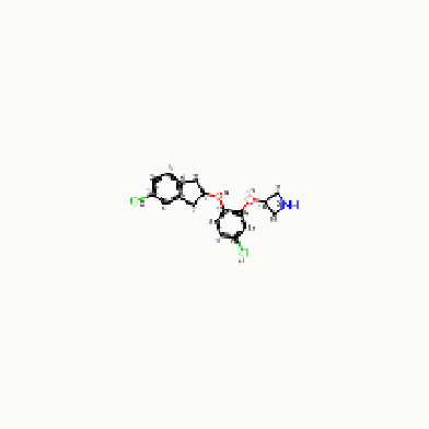 Clc1ccc2c(c1)CC(Oc1ccc(Cl)cc1OC1CNC1)C2